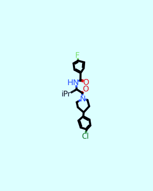 CC(C)C(NC(=O)c1ccc(F)cc1)C(=O)N1CCC(c2ccc(Cl)cc2)CC1